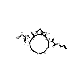 C=CCNC(=O)C(=O)[C@@H]1CCCCCCCOC[C@H](NC(=O)OC(C)(C)C)C(=O)N2CCC[C@H]2C(=O)N1